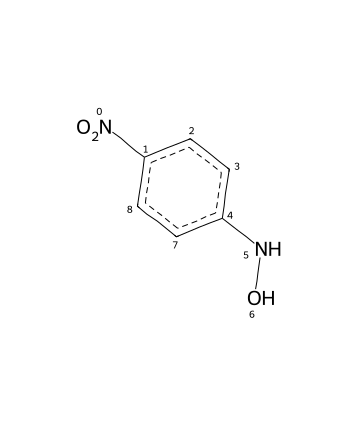 O=[N+]([O-])c1ccc(NO)cc1